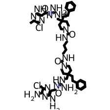 Cc1nc(N)c(C(=O)/N=C(\N)NCC2(CCc3ccccc3)CCN(C(=O)NCCCCNC(=O)N3CCC(CCc4ccccc4)(CN/C(N)=N/C(=O)c4nc(Cl)c(N)nc4N)CC3)CC2)nc1Cl